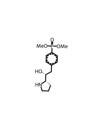 COP(=O)(OC)c1ccc(C[C@@H](O)[C@@H]2CCCN2)cc1